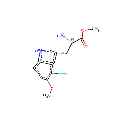 COC(=O)[C@@H](N)Cc1c[nH]c2ccc(OC)c(F)c12